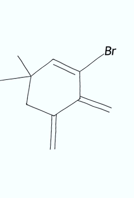 C=C1CC(C)(C)C=C(Br)C1=C